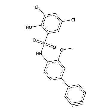 COc1cc(-c2cc#ccc2)ccc1NS(=O)(=O)c1cc(Cl)cc(Cl)c1O